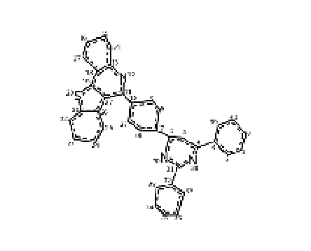 c1ccc(-c2cc(-c3ccc(-c4nc5ccccc5c5sc6ccccc6c45)cc3)nc(-c3ccccc3)n2)cc1